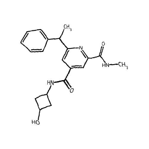 CNC(=O)c1cc(C(=O)NC2CC(O)C2)cc(C(C)c2ccccc2)n1